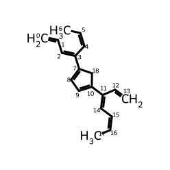 C=C/C=C(\C=C/C)C1=CC=C(/C(C=C)=C/C=C\C)C1